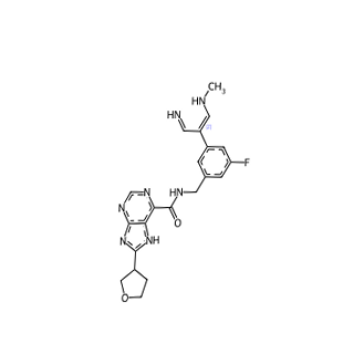 CN/C=C(\C=N)c1cc(F)cc(CNC(=O)c2ncnc3nc(C4CCOC4)[nH]c23)c1